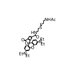 CCN(CC)c1ccc2c(c1)Oc1cc(N(CC)CC)ccc1C21OC(=O)c2ccc(C(=O)NCCSSCCNC(C)=O)cc21